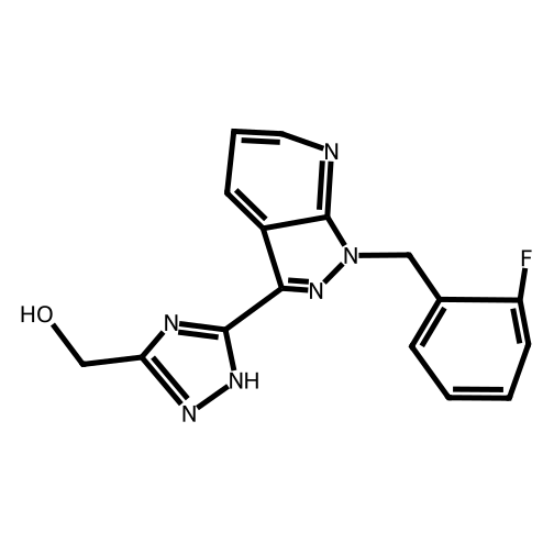 OCc1n[nH]c(-c2nn(Cc3ccccc3F)c3ncccc23)n1